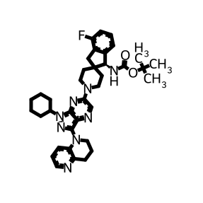 CC(C)(C)OC(=O)N[C@@H]1c2cccc(F)c2CC12CCN(c1cnc3c(N4CCCc5ncccc54)nn(C4CCCCC4)c3n1)CC2